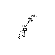 CC(C)(C)OCC(=O)NCCCCNc1ccc2c(c1)C(=O)N(C1CCC(=O)NC1=O)C2=O